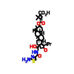 CC(C)C1=C2[C@H]3CC[C@@H]4[C@@]5(C)CC[C@H](OC(=O)[C@H]6C[C@@H](C(=O)O)C6(C)C)C(C)(C)[C@@H]5CC[C@@]4(C)[C@]3(C)CC[C@@]2([C@@H](O)CNC(=O)c2csc(N)n2)CC1=O